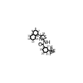 O=C(Nc1nc(-c2cccc3ccccc23)cs1)c1cccc(C(F)(F)F)c1